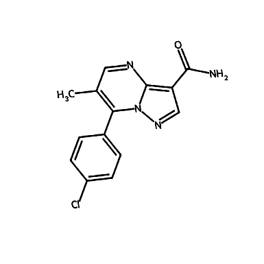 Cc1cnc2c(C(N)=O)cnn2c1-c1ccc(Cl)cc1